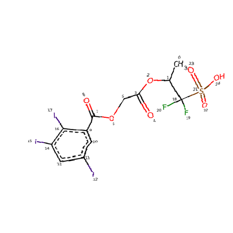 CC(OC(=O)COC(=O)c1cc(I)cc(I)c1I)C(F)(F)S(=O)(=O)O